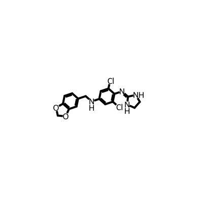 Clc1cc(NCc2ccc3c(c2)OCO3)cc(Cl)c1N=C1NCCN1